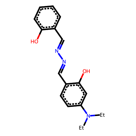 CCN(CC)c1ccc(C=NN=Cc2ccccc2O)c(O)c1